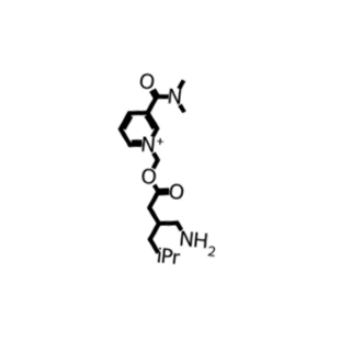 CC(C)CC(CN)CC(=O)OC[n+]1cccc(C(=O)N(C)C)c1